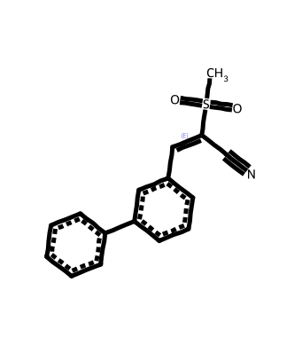 CS(=O)(=O)/C(C#N)=C/c1cccc(-c2ccccc2)c1